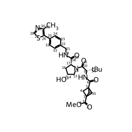 COC(=O)C12CC(C(=O)N[C@H](C(=O)N3C[C@H](O)C[C@H]3C(=O)NCc3ccc(-c4scnc4C)cc3)C(C)(C)C)(C1)C2